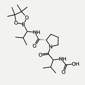 CC(C)C(NC(=O)[C@@H]1CCCN1C(=O)C(NC(=O)O)C(C)C)B1OC(C)(C)C(C)(C)O1